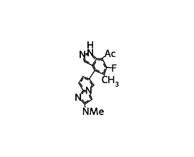 CNc1cn2cc(-c3c(C)c(F)c(C(C)=O)c4[nH]ncc34)ccc2n1